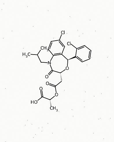 CC(C)CN1C(=O)[C@@H](CC(=O)O[C@H](C)C(=O)O)O[C@H](c2ccccc2Cl)c2cc(Cl)ccc21